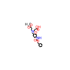 COC(=O)CCN(Cc1ccc(NC(=O)OCc2ccccc2)cc1)C(=O)CC(=O)O